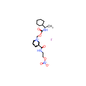 C[C@@H](NC(=O)OC[n+]1cccc(C(=O)NCCO[N+](=O)[O-])c1)C1CCCCC1.[I-]